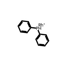 [Rh+].c1ccc(Pc2ccccc2)cc1